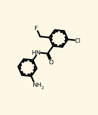 Nc1cccc(NC(=O)c2cc(Cl)ccc2CF)c1